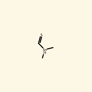 [CH3][SnH]([CH3])[CH]=S